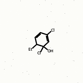 CCC1C=CC(Cl)=CC1(O)Cl